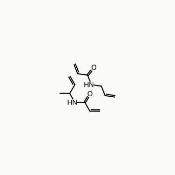 C=CC(=O)NC(C)C=C.C=CCNC(=O)C=C